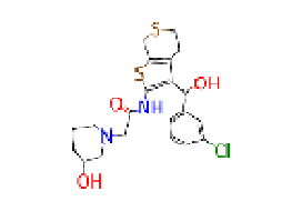 O=C(CN1CCCC(O)C1)Nc1sc2c(c1C(O)c1cccc(Cl)c1)CCSC2